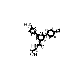 Nc1ccc(-c2nc(C(=O)NCCO)cc(-c3ccc(Cl)cc3)n2)s1